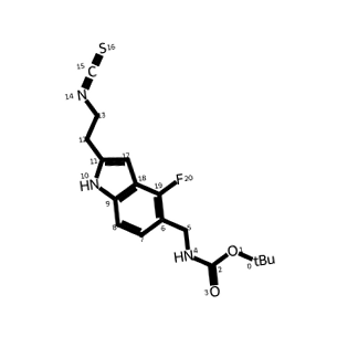 CC(C)(C)OC(=O)NCc1ccc2[nH]c(CCN=C=S)cc2c1F